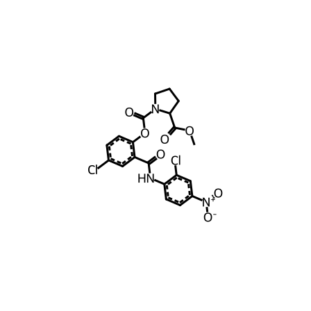 COC(=O)C1CCCN1C(=O)Oc1ccc(Cl)cc1C(=O)Nc1ccc([N+](=O)[O-])cc1Cl